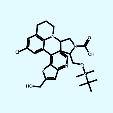 CC(C)(C)[Si](C)(C)OCC1CC(N2CCCc3cc(Cl)cc(-c4ccnc5cc(CO)sc45)c32)CN1C(=O)O